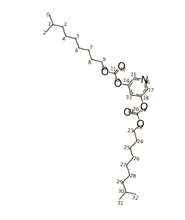 CC(C)CCCCCCCOC(=O)Oc1cncc(OC(=O)OCCCCCCCC(C)C)c1